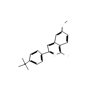 COc1ccc2c(Cl)nc(-c3ccc(C(C)(C)C)cc3)cc2c1